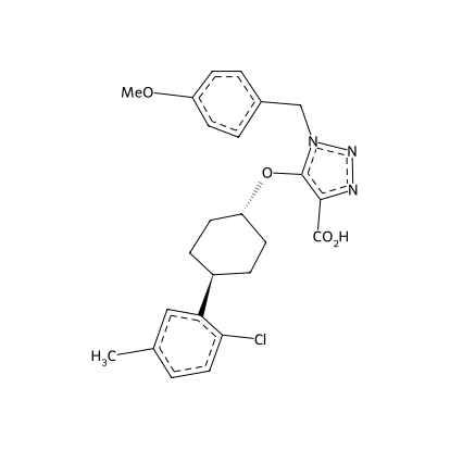 COc1ccc(Cn2nnc(C(=O)O)c2O[C@H]2CC[C@H](c3cc(C)ccc3Cl)CC2)cc1